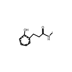 O=C(CCc1ccccc1O)NI